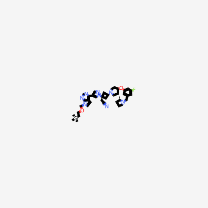 C[C@H]1CCCN1Cc1cc(F)cc(OC2CCN([C@H]3C[C@](CC#N)(n4cc(-c5ncnc6c5ccn6COCC[Si](C)(C)C)cn4)C3)CC2)c1